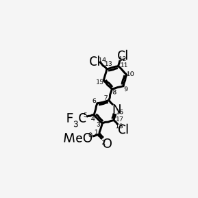 COC(=O)c1c(C(F)(F)F)cc(-c2ccc(Cl)c(Cl)c2)nc1Cl